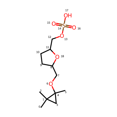 CC1(C)CC1(C)OCC1CCC(COS(=O)(=O)O)O1